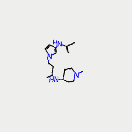 CC(C)Nc1ccn(CCC(C)NC2CCN(C)CC2)c1